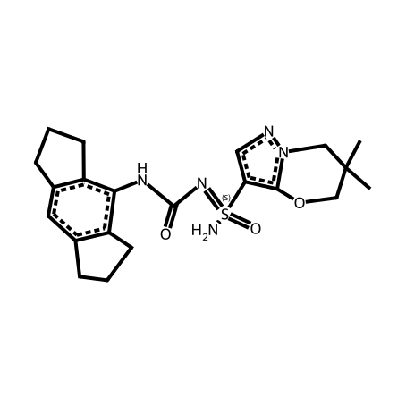 CC1(C)COc2c([S@@](N)(=O)=NC(=O)Nc3c4c(cc5c3CCC5)CCC4)cnn2C1